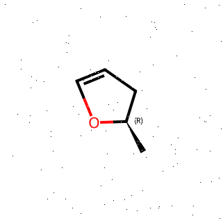 C[C@@H]1CC=CO1